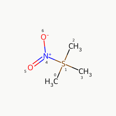 CS(C)(C)[N+](=O)[O-]